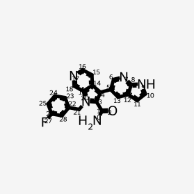 NC(=O)c1c(-c2cnc3[nH]ccc3c2)c2ccncc2n1Cc1cccc(F)c1